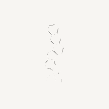 C[Si](C)(C)c1ccc2c(c1)-c1ccc3cc4ccccc4cc3c1C2